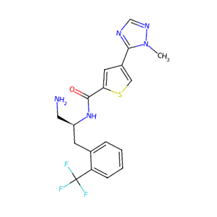 Cn1ncnc1-c1csc(C(=O)N[C@H](CN)Cc2ccccc2C(F)(F)F)c1